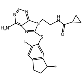 Nc1ncnc2c1nc(Sc1cc3c(cc1I)CCC3F)n2CCNC(=O)C1CC1